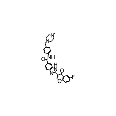 CN1CCN(Cc2ccc(NC(=O)c3ccc4nc(-c5coc6ccc(F)cc6c5=O)[nH]c4c3)cc2)CC1